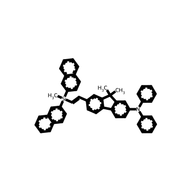 CC1(C)c2cc(/C=C/[Si](C)(c3ccc4ccccc4c3)c3ccc4ccccc4c3)ccc2-c2ccc(N(c3ccccc3)c3ccccc3)cc21